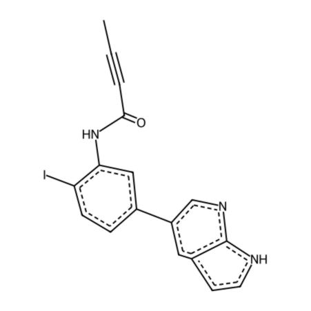 CC#CC(=O)Nc1cc(-c2cnc3[nH]ccc3c2)ccc1I